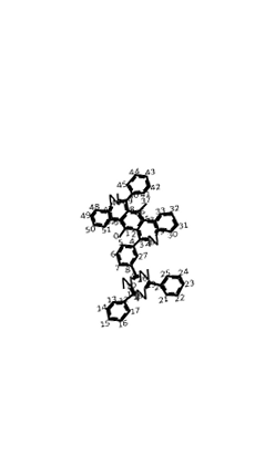 Cc1c2c(-c3cccc(-c4nc(-c5ccccc5)nc(-c5ccccc5)n4)c3)nc3ccccc3c2c(C)c2c(-c3ccccc3)nc3ccccc3c12